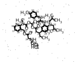 CCC(CC(=O)O[C@H](C)OC(=O)N(C)c1ncccc1COC(=O)CNC)c1ccc(N(CC(C)C)CC(C)C)c(NC(=O)Nc2ccc(C)cc2)c1.Cl.Cl